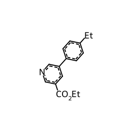 CCOC(=O)c1cncc(-c2ccc(CC)cc2)c1